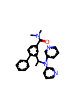 CC(c1cc(C(=O)N(C)C)ccc1-c1ccccc1)N(c1cccnc1)c1cccnc1